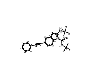 CC(C)(C)OC(=O)n1[c]([SnH2][C](C)(C)C)cc2cc(C#Cc3ccccc3)ccc21